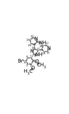 COc1cc(Br)cc(-c2nc3c([nH]2)-c2ccncc2Nc2ncccc2-3)c1OC